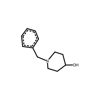 O[C]1CCN(Cc2ccccc2)CC1